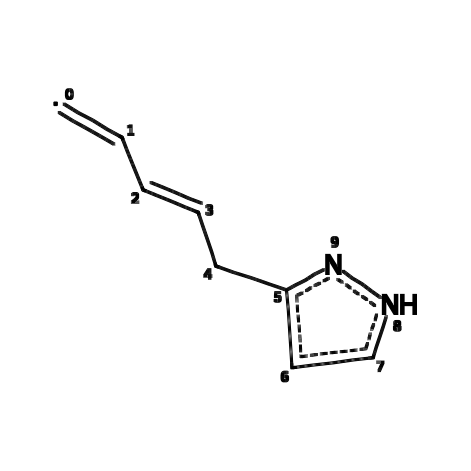 [CH]=CC=CCc1cc[nH]n1